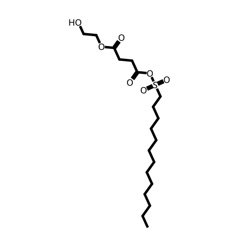 CCCCCCCCCCCCCS(=O)(=O)OC(=O)CCC(=O)OCCO